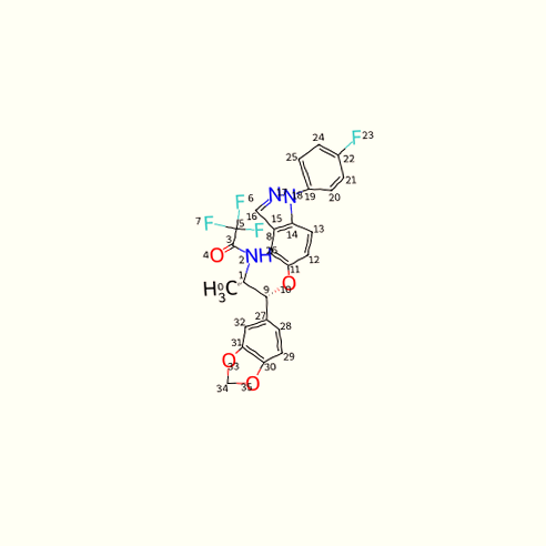 C[C@H](NC(=O)C(F)(F)F)[C@H](Oc1ccc2c(cnn2-c2ccc(F)cc2)c1)c1ccc2c(c1)OCO2